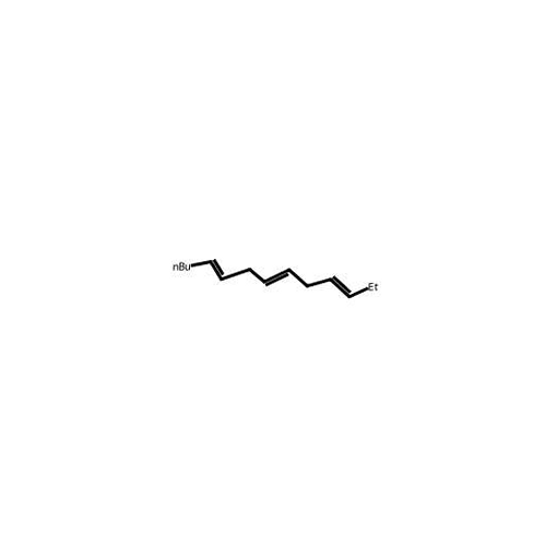 CC/C=C/C/C=C/C/C=C/CCCC